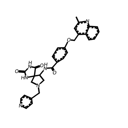 Cc1cc(COc2ccc(C(=O)NC3CN(Cc4ccncc4)CC34NC(=O)NC4=O)cc2)c2ccccc2n1